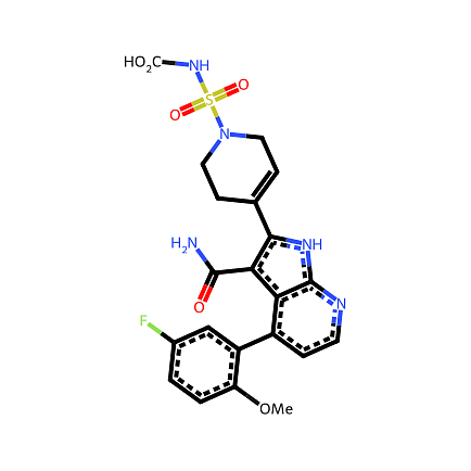 COc1ccc(F)cc1-c1ccnc2[nH]c(C3=CCN(S(=O)(=O)NC(=O)O)CC3)c(C(N)=O)c12